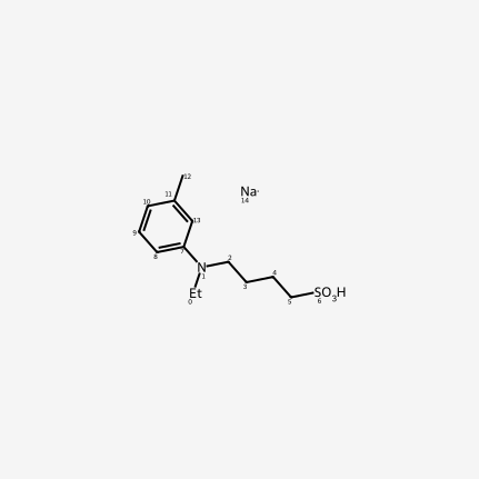 CCN(CCCCS(=O)(=O)O)c1cccc(C)c1.[Na]